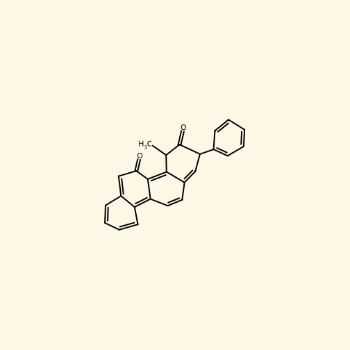 CC1C(=O)C(c2ccccc2)C=c2ccc3c(c21)C(=O)C=c1ccccc1=3